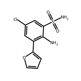 Nc1c(-c2ccco2)cc(Cl)cc1S(N)(=O)=O